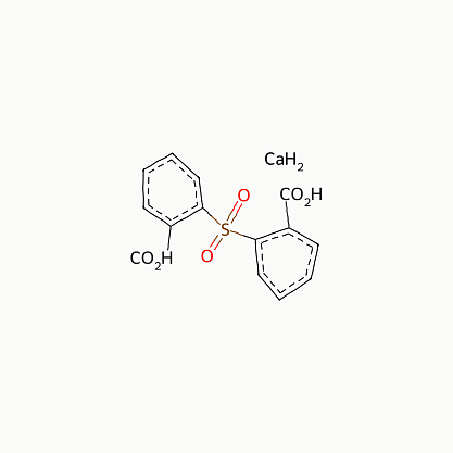 O=C(O)c1ccccc1S(=O)(=O)c1ccccc1C(=O)O.[CaH2]